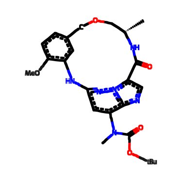 COc1ccc2cc1Nc1cc(N(C)C(=O)OC(C)(C)C)c3ncc(n3n1)C(=O)N[C@@H](C)COC2